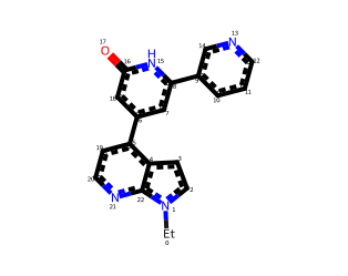 CCn1ccc2c(-c3cc(-c4cccnc4)[nH]c(=O)c3)ccnc21